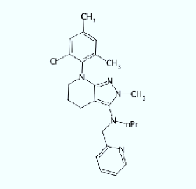 CCCN(Cc1ccccn1)c1c2c(nn1C)N(c1c(C)cc(C)cc1Cl)CCC2